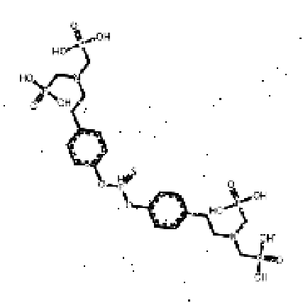 O=P(O)(O)CN(CCc1ccc(O[PH](=S)Oc2ccc(CCN(CP(=O)(O)O)CP(=O)(O)O)cc2)cc1)CP(=O)(O)O